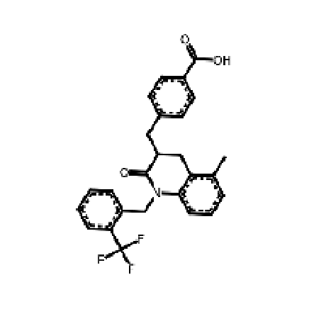 Cc1cccc2c1CC(Cc1ccc(C(=O)O)cc1)C(=O)N2Cc1ccccc1C(F)(F)F